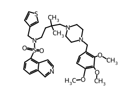 COc1ccc(CN2CCN(CC(C)(C)CCN(Cc3ccsc3)S(=O)(=O)c3cccc4cnccc34)CC2)c(OC)c1OC